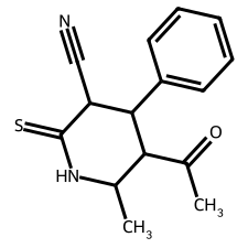 CC(=O)C1C(C)NC(=S)C(C#N)C1c1ccccc1